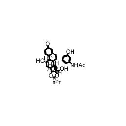 CC(=O)Nc1cccc(O)c1.CCC[C@@H]1O[C@@H]2C[C@H]3[C@@H]4CCC5=CC(=O)C=C[C@]5(C)[C@H]4[C@@H](O)C[C@]3(C)[C@]2(C(=O)CO)O1